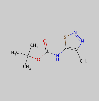 Cc1nnsc1NC(=O)OC(C)(C)C